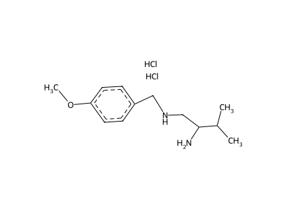 COc1ccc(CNCC(N)C(C)C)cc1.Cl.Cl